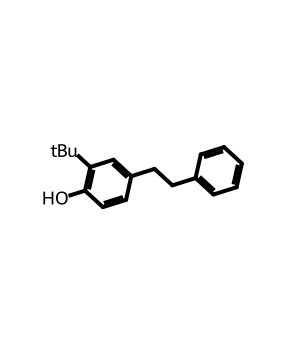 CC(C)(C)c1cc(CCc2ccccc2)ccc1O